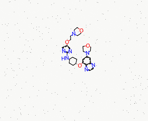 c1cnc2c(O[C@H]3CC[C@@H](Nc4ncc(OCCN5CCOCC5)cn4)CC3)cc(N3CCOCC3)cc2n1